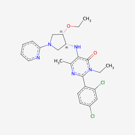 CCO[C@H]1CN(c2ccccn2)C[C@H]1Nc1c(C)nc(-c2ccc(Cl)cc2Cl)n(CC)c1=O